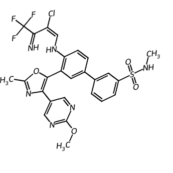 CNS(=O)(=O)c1cccc(-c2ccc(N/C=C(/Cl)C(=N)C(F)(F)F)c(-c3oc(C)nc3-c3cnc(OC)nc3)c2)c1